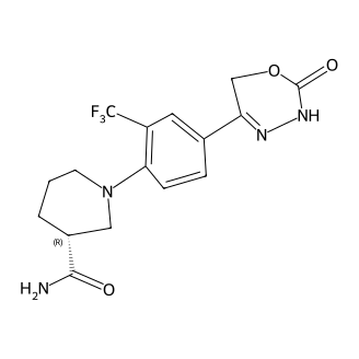 NC(=O)[C@@H]1CCCN(c2ccc(C3=NNC(=O)OC3)cc2C(F)(F)F)C1